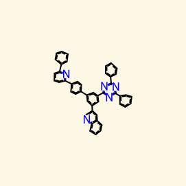 c1ccc(-c2cccc(-c3ccc(-c4cc(-c5cnc6ccccc6c5)cc(-c5nc(-c6ccccc6)nc(-c6ccccc6)n5)c4)cc3)n2)cc1